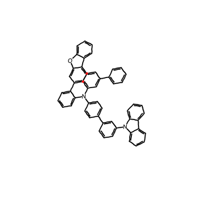 c1ccc(-c2cccc(N(c3ccc(-c4cccc(-n5c6ccccc6c6ccccc65)c4)cc3)c3ccccc3-c3ccc4c(c3)oc3ccccc34)c2)cc1